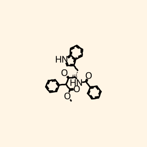 COC(=O)C(C(=O)[C@H](Cc1c[nH]c2ccccc12)NC(=O)c1ccccc1)c1ccccc1